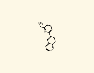 NCc1cccc(C2=Cc3ccccc3CC2)n1